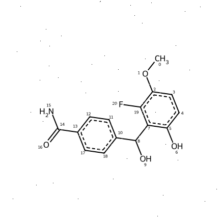 COc1ccc(O)c(C(O)c2ccc(C(N)=O)cc2)c1F